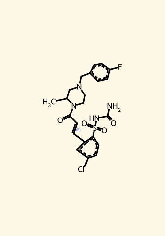 CC1CN(Cc2ccc(F)cc2)CCN1C(=O)/C=C/c1cc(Cl)ccc1S(=O)(=O)NC(N)=O